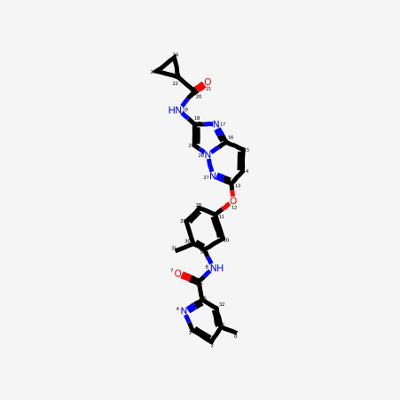 Cc1ccnc(C(=O)Nc2cc(Oc3ccc4nc(NC(=O)C5CC5)cn4n3)ccc2C)c1